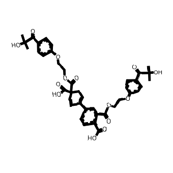 CC(C)(O)C(=O)c1ccc(OCCOC(=O)c2cc(C3=CCC(C(=O)O)(C(=O)OCCOc4ccc(C(=O)C(C)(C)O)cc4)C=C3)ccc2C(=O)O)cc1